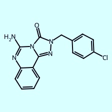 Nc1nc2ccccc2c2nn(Cc3ccc(Cl)cc3)c(=O)n12